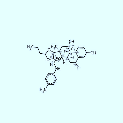 CCCC1O[C@@H]2C[C@H]3[C@@H]4C[C@H](F)C5=CC(O)C=C[C@]5(C)[C@@]4(F)[C@@H](O)C[C@]3(C)[C@]2(C(=O)CNc2ccc(N)cc2)O1